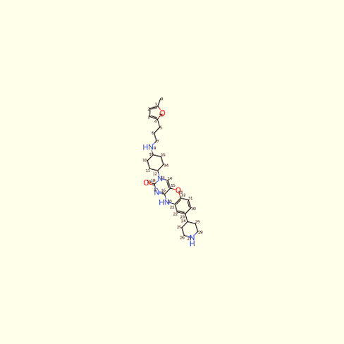 Cc1ccc(CCCNC2CCC(n3cc4c(nc3=O)Nc3cc(C5CCNCC5)ccc3O4)CC2)o1